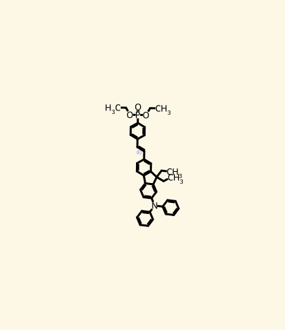 CCOP(=O)(OCC)c1ccc(/C=C/c2ccc3c(c2)C(CC)(CC)c2cc(N(c4ccccc4)c4ccccc4)ccc2-3)cc1